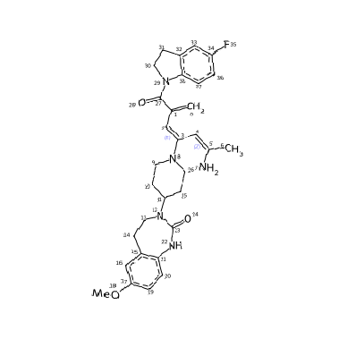 C=C(/C=C(\C=C(\C)N)N1CCC(N2CCc3cc(OC)ccc3NC2=O)CC1)C(=O)N1CCc2cc(F)ccc21